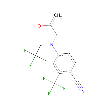 C=C(O)CN(CC(F)(F)F)c1ccc(C#N)c(C(F)(F)F)c1